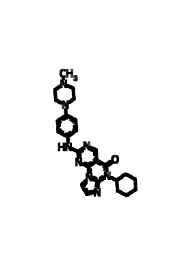 CN1CCN(c2ccc(Nc3ncc4c(=O)n(C5CCCCC5)c5nccn5c4n3)cc2)CC1